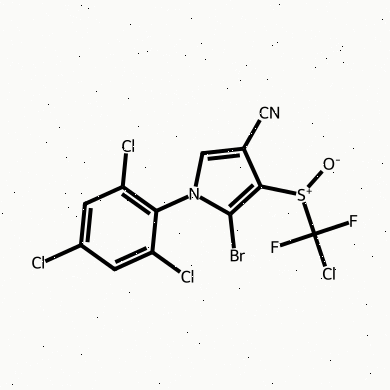 N#Cc1cn(-c2c(Cl)cc(Cl)cc2Cl)c(Br)c1[S+]([O-])C(F)(F)Cl